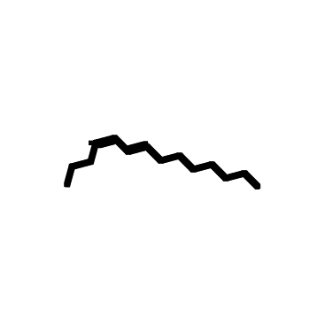 CCC/[C]=C\C=C\CCCCCCC